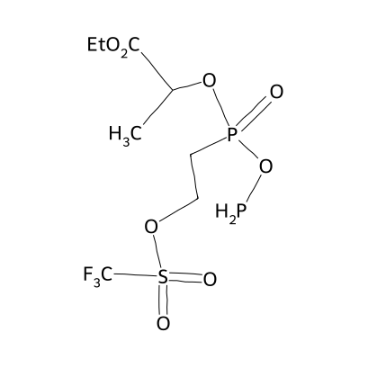 CCOC(=O)C(C)OP(=O)(CCOS(=O)(=O)C(F)(F)F)OP